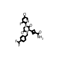 NC(=O)C12CC([C@@H]3C(=O)N(c4ncc(Cl)cc4F)CC(=O)N3Cc3ccc(C(F)F)cc3)(C1)C2